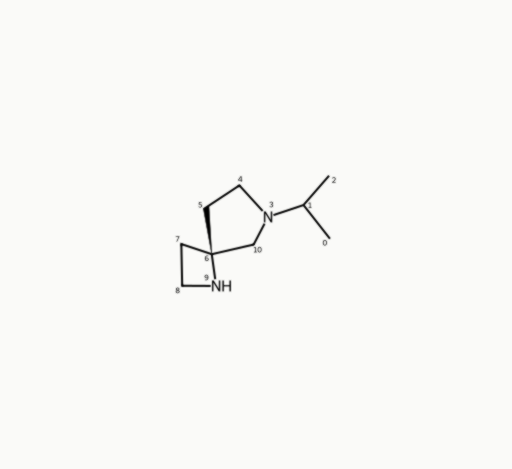 CC(C)N1CC[C@@]2(CCN2)C1